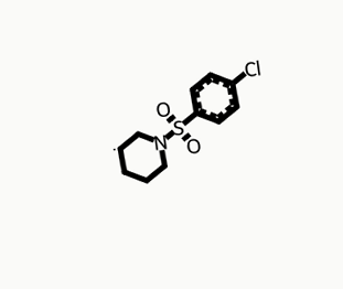 O=S(=O)(c1ccc(Cl)cc1)N1C[CH]CCC1